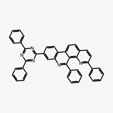 c1ccc(-c2ccc3ccc4c5ccc(-c6nc(-c7ccccc7)nc(-c7ccccc7)n6)cc5nc(-c5ccccc5)c4c3n2)cc1